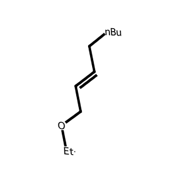 C[CH]OCC=CCCCCC